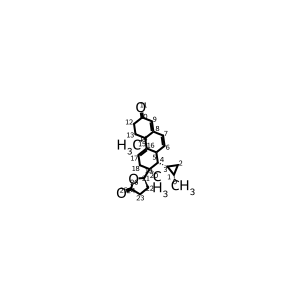 C[C@H]1C[C@H]1C1C2C=CC3=CC(=O)CC[C@]3(C)C2=CC[C@]1(C)[C@H]1CCC(=O)O1